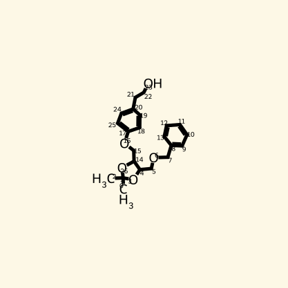 CC1(C)OC(COCc2ccccc2)C(COc2ccc(CCO)cc2)O1